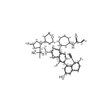 C#Cc1c(F)ccc2cc(O)cc(-c3ncc4c(N5CCCCC(NC(=O)C=C)C5)nc(OC[C@]5(C(C)(C)C#N)C[C@@H](F)CN5C5CCOCC5)nc4c3F)c12